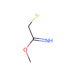 COC(=N)C[S]